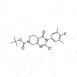 Cc1cc(-n2c(Cl)nc3c(c2=O)CCN(C(=O)OC(C)(C)C)C3)cc(C)c1F